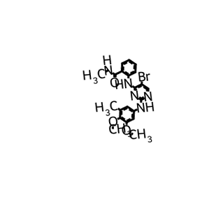 CNC(=O)c1ccccc1Nc1nc(Nc2cc(C)c(OC)c(OC)c2)ncc1Br